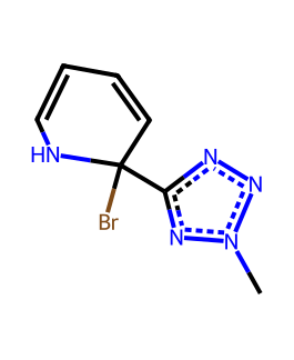 Cn1nnc(C2(Br)C=CC=CN2)n1